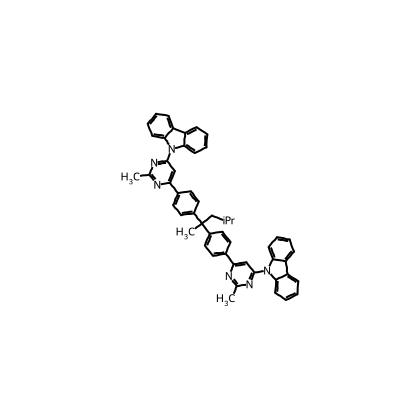 Cc1nc(-c2ccc(C(C)(CC(C)C)c3ccc(-c4cc(-n5c6ccccc6c6ccccc65)nc(C)n4)cc3)cc2)cc(-n2c3ccccc3c3ccccc32)n1